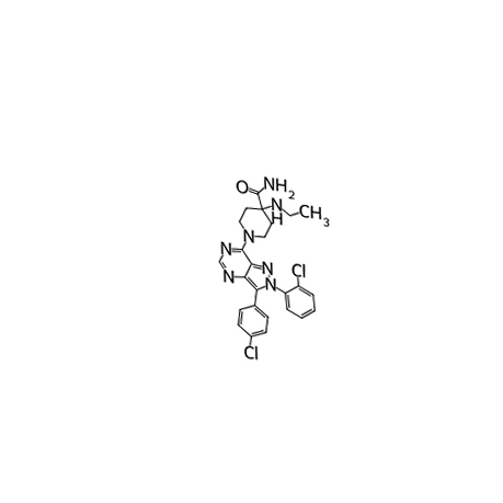 CCNC1(C(N)=O)CCN(c2ncnc3c(-c4ccc(Cl)cc4)n(-c4ccccc4Cl)nc23)CC1